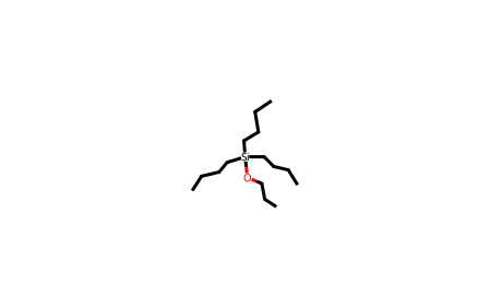 CCCC[Si](CCCC)(CCCC)OCCC